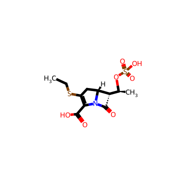 CCSC1=C(C(=O)O)N2C(=O)[C@@H]([C@H](C)OS(=O)(=O)O)[C@H]2C1